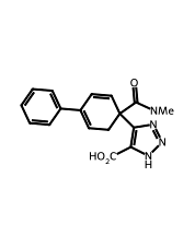 CNC(=O)C1(c2nn[nH]c2C(=O)O)C=CC(c2ccccc2)=CC1